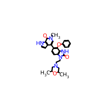 CC1CN(CCn2c(=O)[nH]c3c(Oc4ccccc4)c(-c4cn(C)c(=O)c5[nH]ccc45)ccc32)CC(C)O1